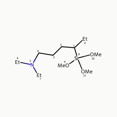 CCC(CCCN(CC)CC)[Si](OC)(OC)OC